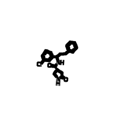 O=C1C[C@H](C(=O)NC(CCc2ccccc2)c2cccc(Cl)c2)CN1